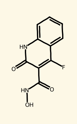 O=C(NO)c1c(F)c2ccccc2[nH]c1=O